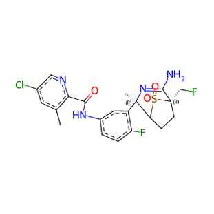 Cc1cc(Cl)cnc1C(=O)Nc1ccc(F)c([C@@]2(C)N=C(N)[C@@]3(CF)CCC2S3(=O)=O)c1